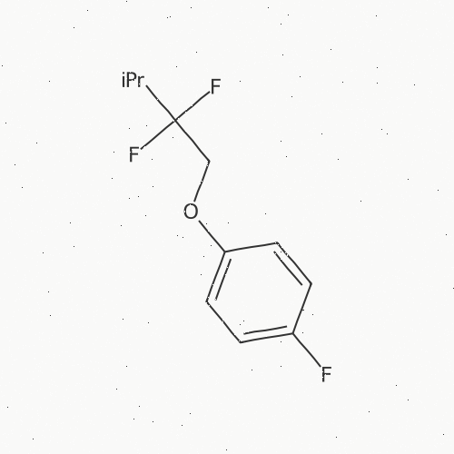 CC(C)C(F)(F)COc1ccc(F)cc1